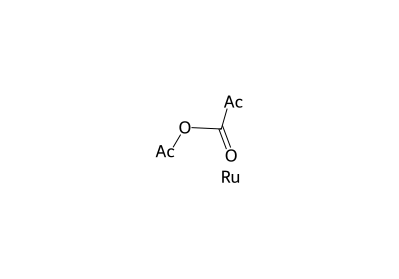 CC(=O)OC(=O)C(C)=O.[Ru]